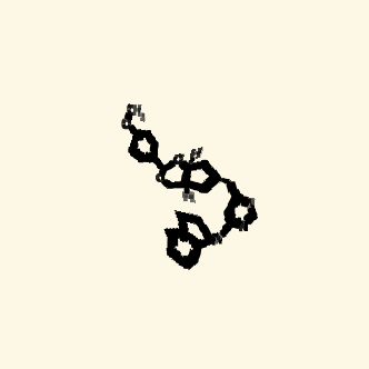 COc1ccc(C2OC[C@@H]3C[C@@H](Cc4cc(N[C@H]5CCc6ccccc65)ncn4)C[C@@H]3O2)cc1